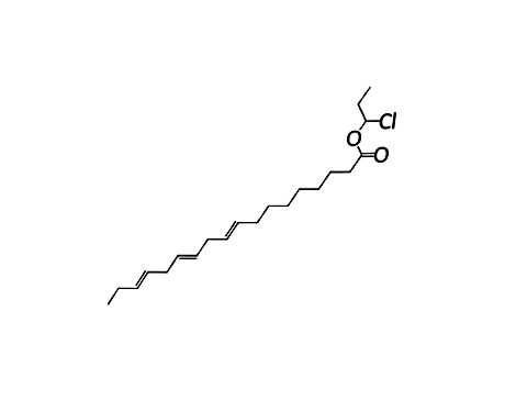 CCC=CCC=CCC=CCCCCCCCC(=O)OC(Cl)CC